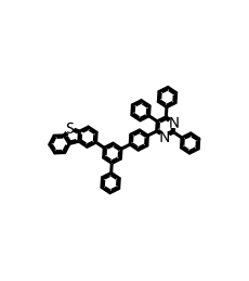 c1ccc(-c2cc(-c3ccc(-c4nc(-c5ccccc5)nc(-c5ccccc5)c4-c4ccccc4)cc3)cc(-c3ccc4sc5ccccc5c4c3)c2)cc1